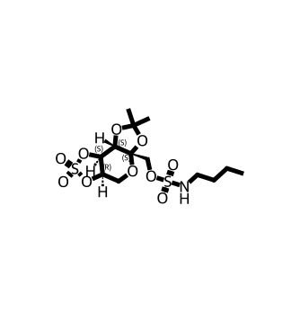 CCCCNS(=O)(=O)OC[C@@]12OC[C@H]3OS(=O)(=O)O[C@H]3[C@@H]1OC(C)(C)O2